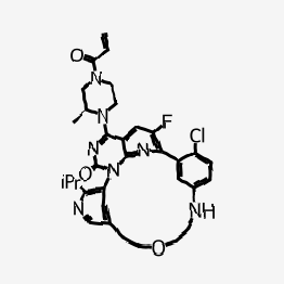 C=CC(=O)N1CCN(c2nc(=O)n3c4nc(c(F)cc24)-c2cc(ccc2Cl)NCCOCCc2cnc(C(C)C)c-3c2)[C@@H](C)C1